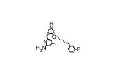 Cc1cc(N)nc(C[C@H]2CNC[C@H]2OCCCCCc2cccc(F)c2)c1